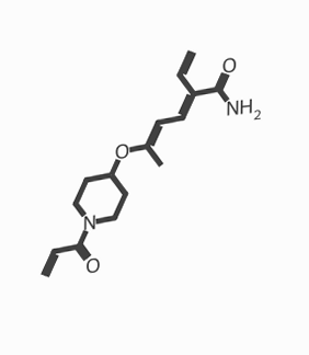 C=CC(=O)N1CCC(O/C(C)=C/C=C(\C=C)C(N)=O)CC1